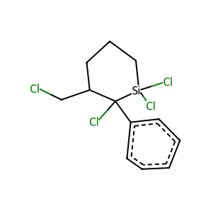 ClCC1CCC[Si](Cl)(Cl)C1(Cl)c1ccccc1